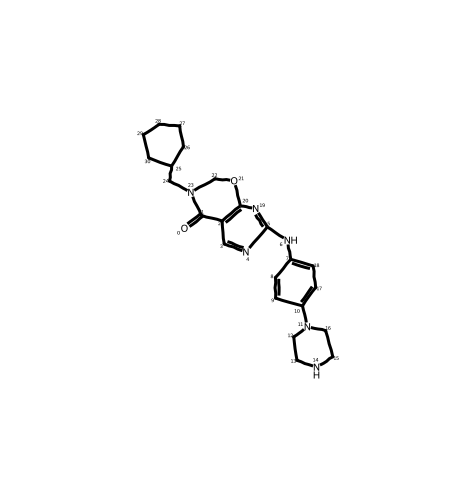 O=C1c2cnc(Nc3ccc(N4CCNCC4)cc3)nc2OCN1CC1CCCCC1